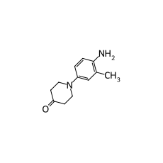 Cc1cc(N2CCC(=O)CC2)ccc1N